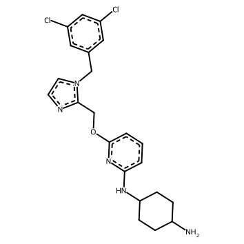 NC1CCC(Nc2cccc(OCc3nccn3Cc3cc(Cl)cc(Cl)c3)n2)CC1